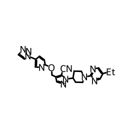 CCc1cnc(N2CCC(n3ncc(COc4ccc(-n5ccnn5)cn4)c3C#N)CC2)nc1